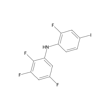 Fc1cc(F)c(F)c(Nc2ccc(I)cc2F)c1